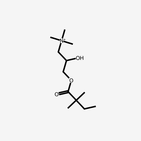 CCC(C)(C)C(=O)OCC(O)C[N+](C)(C)C